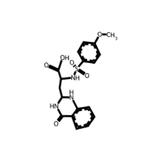 COc1ccc(S(=O)(=O)NC(CC2NC(=O)c3ccccc3N2)C(=O)O)cc1